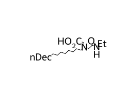 [CH2]CNC(=O)CN(CCCCCCCCCCCCCCCCCC)CC(=O)O